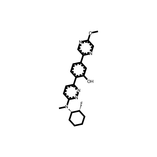 COc1cnc(-c2ccc(-c3ccc(N(C)[C@H]4CCCC[C@H]4F)nn3)c(O)c2)cn1